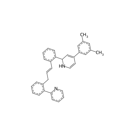 Cc1cc(C)cc(C2=CC(c3ccccc3/C=C/Cc3ccccc3-c3ccccn3)NC=C2)c1